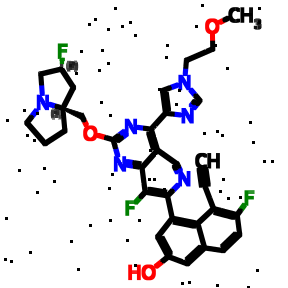 C#Cc1c(F)ccc2cc(O)cc(-c3ncc4c(-c5cn(CCOC)cn5)nc(OC[C@@]56CCCN5C[C@H](F)C6)nc4c3F)c12